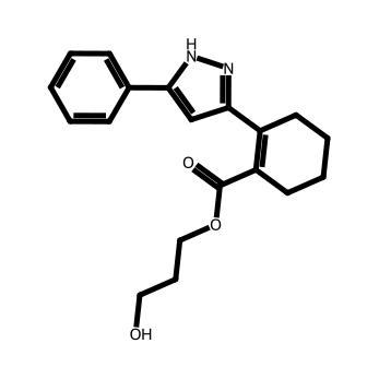 O=C(OCCCO)C1=C(c2cc(-c3ccccc3)[nH]n2)CCCC1